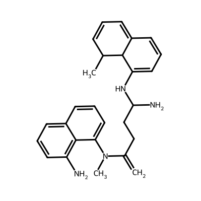 C=C(CCC(N)NC1=CC=CC2=CC=CC(C)C21)N(C)c1cccc2cccc(N)c12